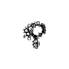 CO[C@@]1(CN2CCN3CCOC[C@@H]3C2)C2=C[C@@H](C2)[C@@H](C)[C@@H](C)S(=O)(=O)NC(=O)c2ccc3c(n2)N(C[C@H]2CC[C@@H]21)C[C@@]1(CCCc2c1ccc(Cl)c2F)CO3